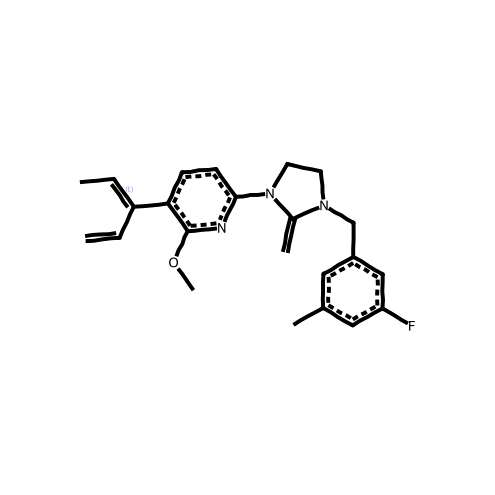 C=C/C(=C\C)c1ccc(N2CCN(Cc3cc(C)cc(F)c3)C2=C)nc1OC